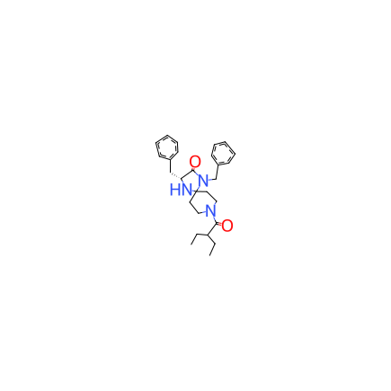 CCC(CC)C(=O)N1CCC2(CC1)N[C@H](Cc1ccccc1)C(=O)N2Cc1ccccc1